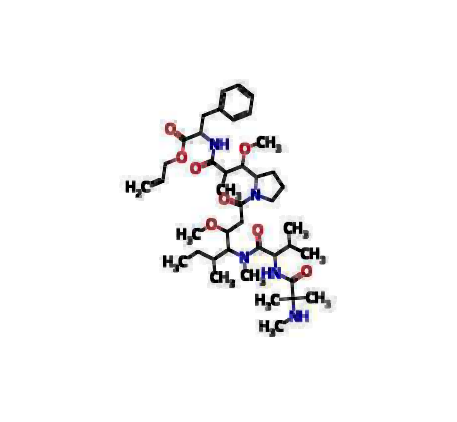 C=CCOC(=O)C(Cc1ccccc1)NC(=O)C(C)C(OC)C1CCCN1C(=O)CC(OC)C(C(C)CC)N(C)C(=O)C(NC(=O)C(C)(C)NC)C(C)C